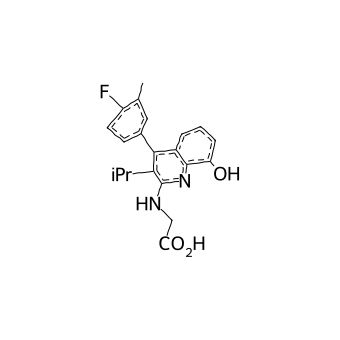 Cc1cc(-c2c(C(C)C)c(NCC(=O)O)nc3c(O)cccc23)ccc1F